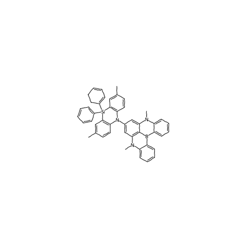 Cc1ccc2c(c1)[Si](C1=CC=CCC1)(c1ccccc1)c1cc(C)ccc1N2c1cc2c3c(c1)N(C)c1ccccc1B3c1ccccc1N2C